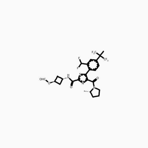 C[C@H]1CCCN1C(=O)c1nc(C(=O)N[C@H]2C[C@H](OC=O)C2)sc1-c1ccc(C(C)(C(F)(F)F)C(F)(F)F)cc1C(F)F